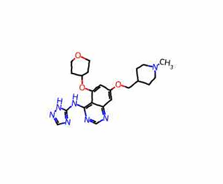 CN1CCC(COc2cc(OC3CCOCC3)c3c(Nc4ncn[nH]4)ncnc3c2)CC1